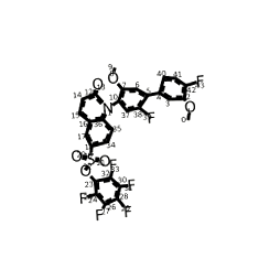 COc1cc(-c2cc(OC)c(-n3c(=O)ccc4cc(S(=O)(=O)Oc5c(F)c(F)c(F)c(F)c5F)ccc43)cc2F)ccc1F